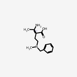 C/C(N)=C(\CCN(C)Cc1ccccc1)C(=O)O